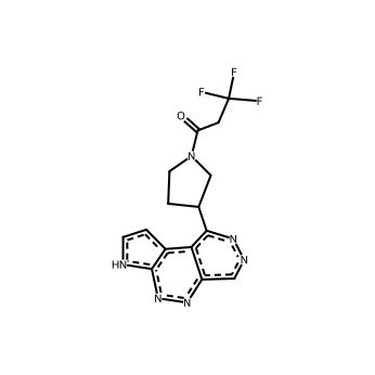 O=C(CC(F)(F)F)N1CCC(c2nncc3nnc4[nH]ccc4c23)C1